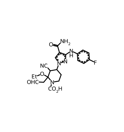 CCOC1(CC=O)C(C#N)C(n2cc(C(N)=O)c(Nc3ccc(F)cc3)n2)CCN1C(=O)O